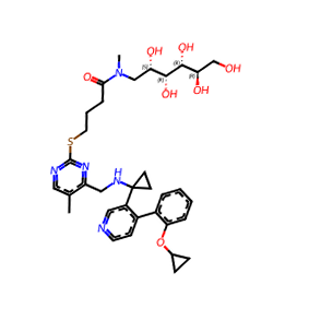 Cc1cnc(SCCCC(=O)N(C)C[C@H](O)[C@@H](O)[C@H](O)[C@H](O)CO)nc1CNC1(c2cnccc2-c2ccccc2OC2CC2)CC1